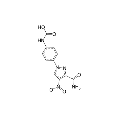 NC(=O)c1nn(-c2ccc(NC(=O)O)cc2)cc1[N+](=O)[O-]